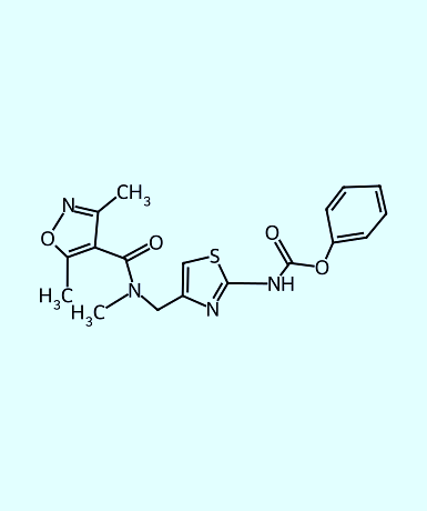 Cc1noc(C)c1C(=O)N(C)Cc1csc(NC(=O)Oc2ccccc2)n1